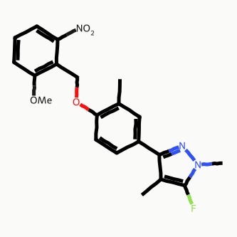 COc1cccc([N+](=O)[O-])c1COc1ccc(-c2nn(C)c(F)c2C)cc1C